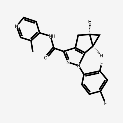 Cc1cnccc1NC(=O)c1nn(-c2ccc(F)cc2F)c2c1C[C@H]1C[C@@H]21